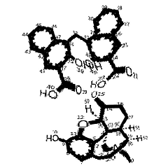 CN1CC[C@]23c4c5ccc(O)c4O[C@H]2C(=O)CC[C@H]3[C@H]1C5.O=C(O)c1cc2ccccc2c(Cc2c(O)c(C(=O)O)cc3ccccc23)c1O